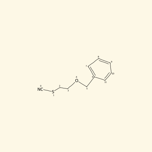 N#CSCCOCc1ccccc1